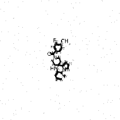 Cc1ccc(C(=O)N2CCC3(CC2)Nc2cccnc2-n2cccc23)cc1F